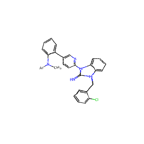 CC(=O)N(C)c1ccccc1-c1ccc(-n2c(=N)n(Cc3ccccc3Cl)c3ccccc32)nc1